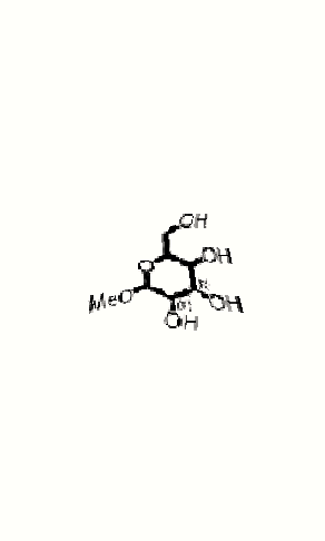 COC1OC(CO)C(O)[C@@H](O)[C@H]1O